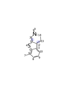 C=N/C=c1/sc2c(C)cccc2/c1=C/C